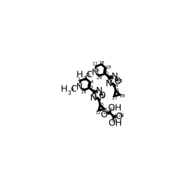 CN1CCC=C(c2noc(C3CC3)n2)C1.CN1CCC=C(c2noc(C3CC3)n2)C1.O=C(O)C(=O)O